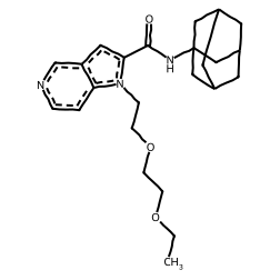 CCOCCOCCn1c(C(=O)NC23CC4CC(CC(C4)C2)C3)cc2cnccc21